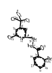 O=C(NNc1cc(C(Cl)(Cl)Cl)cc(Cl)n1)c1ccccc1Br